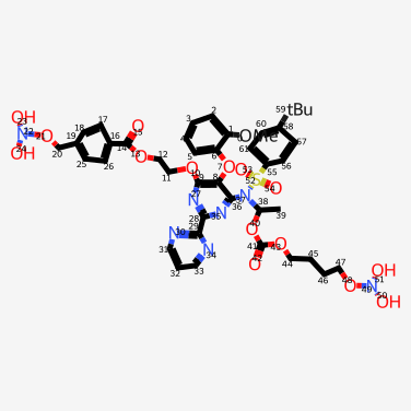 COc1ccccc1Oc1c(OCCOC(=O)c2ccc(CON(O)O)cc2)nc(-c2ncccn2)nc1N(C(C)OC(=O)OCCCCON(O)O)S(=O)(=O)c1ccc(C(C)(C)C)cc1